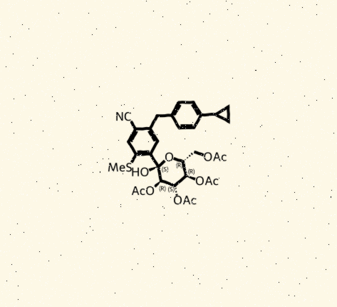 CSc1cc(C#N)c(Cc2ccc(C3CC3)cc2)cc1[C@]1(O)O[C@H](COC(C)=O)[C@@H](OC(C)=O)[C@H](OC(C)=O)[C@H]1OC(C)=O